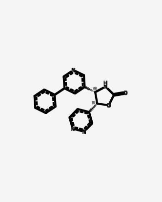 O=C1N[C@@H](c2cncc(-c3ccccc3)c2)[C@@H](c2ccnnc2)O1